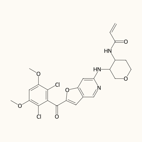 C=CC(=O)NC1CCOCC1Nc1cc2oc(C(=O)c3c(Cl)c(OC)cc(OC)c3Cl)cc2cn1